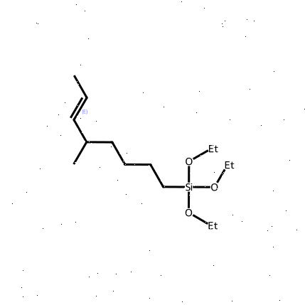 C/C=C/C(C)CCCC[Si](OCC)(OCC)OCC